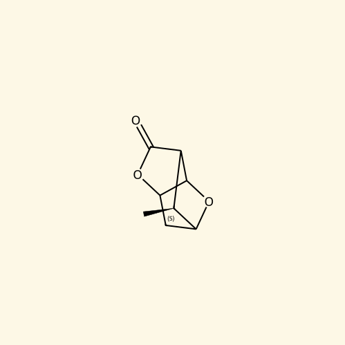 C[C@@H]1C2CC3OC(=O)C1C3O2